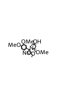 COC(=O)[C@@H]1C[C@@H](O)CN1C(=O)c1cc(OC)c(OC)cc1[N+](=O)[O-]